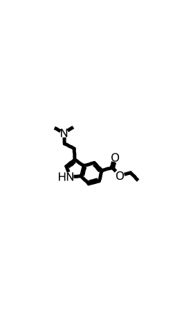 CCOC(=O)c1ccc2[nH]cc(CCN(C)C)c2c1